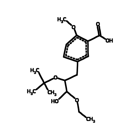 CCOC(O)C(Cc1ccc(OC)c(C(=O)O)c1)OC(C)(C)C